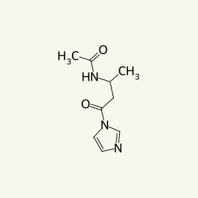 CC(=O)NC(C)CC(=O)n1ccnc1